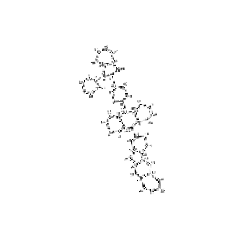 c1ccc(-n2c(-c3ccc(-c4c5ccccc5c(-c5ccc6c(c5)sc5cc7ccccc7cc56)c5ccccc45)cc3)nc3ccccc32)cc1